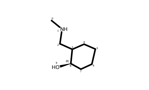 CNCC1CCCC[C@H]1O